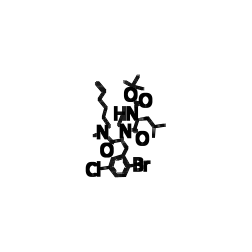 C=CCCCCN(C)C(=O)[C@H](Cc1cc(Cl)ccc1Br)N(CC)C(=O)[C@H](CC(C)C)NC(=O)OC(C)(C)C